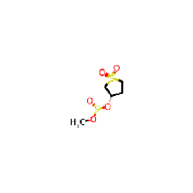 COS(=O)O[C@H]1CCS(=O)(=O)C1